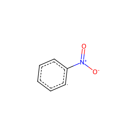 O=[N+]([O-])c1[c]cccc1